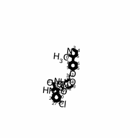 Cc1ncccc1-c1ccc(OC[C@@H]2CN(S(=O)(=O)c3c(C(N)=O)[nH]c4ccc(Cl)cc34)CCO2)cc1